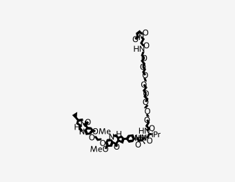 COc1cc2c(cc1OCCCOc1cc3c(cc1OC)C(=O)N1C=C(C4CC4)C[C@H]1C=N3)N=C[C@@H]1CC(c3ccc(NC(=O)[C@H](C)NC(=O)C(NC(=O)CCOCCOCCOCCOCCOCCOCCOCCOCCNC(=O)CCN4C(=O)C=CC4=O)C(C)C)cc3)=CC1C2=O